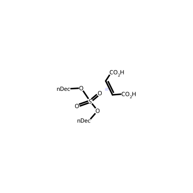 CCCCCCCCCCOS(=O)(=O)OCCCCCCCCCC.O=C(O)/C=C\C(=O)O